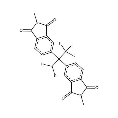 CN1C(=O)c2ccc(C(c3ccc4c(c3)C(=O)N(C)C4=O)(C(F)F)C(F)(F)F)cc2C1=O